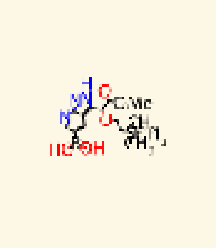 COC(=O)C(OCC[Si](C)(C)C)c1[nH]nc2ncc(B(O)O)cc12